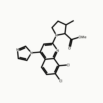 COC(=O)C1C(C)CCN1c1cc(-n2ccnc2)c2ccc(Cl)c(Cl)c2n1